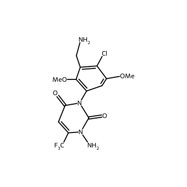 COc1cc(-n2c(=O)cc(C(F)(F)F)n(N)c2=O)c(OC)c(CN)c1Cl